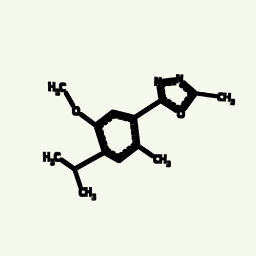 COc1cc(-c2nnc(C)o2)c(C)cc1C(C)C